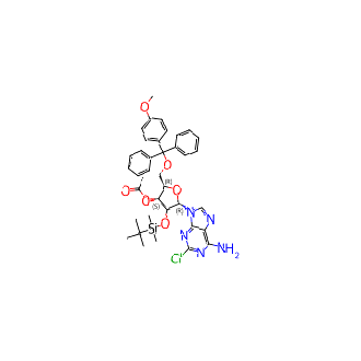 COc1ccc(C(OC[C@H]2O[C@@H](n3cnc4c(N)nc(Cl)nc43)C(O[Si](C)(C)C(C)(C)C)[C@H]2OC(C)=O)(c2ccccc2)c2ccccc2)cc1